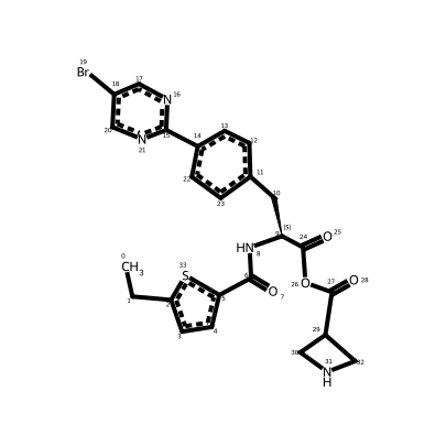 CCc1ccc(C(=O)N[C@@H](Cc2ccc(-c3ncc(Br)cn3)cc2)C(=O)OC(=O)C2CNC2)s1